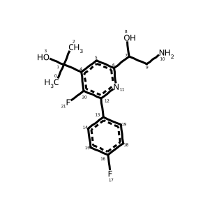 CC(C)(O)c1cc(C(O)CN)nc(-c2ccc(F)cc2)c1F